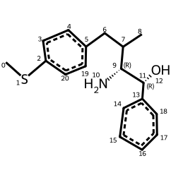 CSc1ccc(CC(C)[C@@H](N)[C@H](O)c2ccccc2)cc1